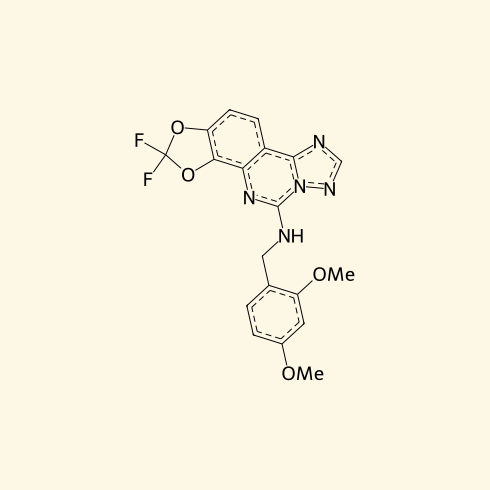 COc1ccc(CNc2nc3c4c(ccc3c3ncnn23)OC(F)(F)O4)c(OC)c1